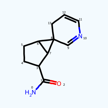 NC(=O)C1CCC2C1C21C=NC=CC1